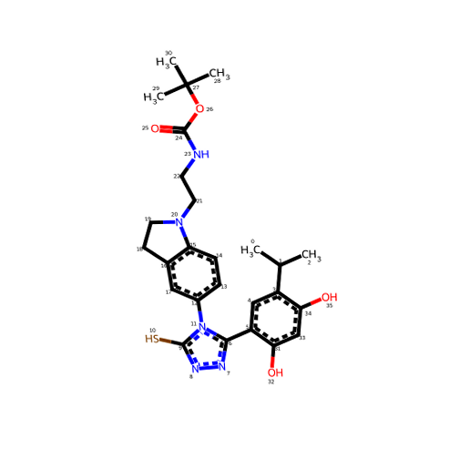 CC(C)c1cc(-c2nnc(S)n2-c2ccc3c(c2)CCN3CCNC(=O)OC(C)(C)C)c(O)cc1O